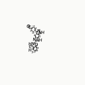 CC(NC(=O)c1nc2cc3c(C4CCC(=C=O)CC4)n[nH]c3cc2[nH]1)c1ccccc1